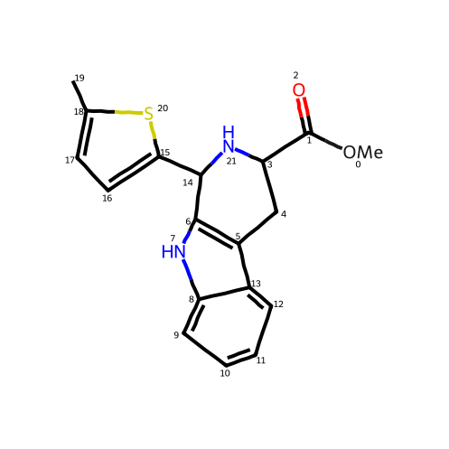 COC(=O)C1Cc2c([nH]c3ccccc23)C(c2ccc(C)s2)N1